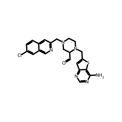 Nc1ncnc2cc(CN3CCN(Cc4cc5ccc(Cl)cc5cn4)CC3C=O)sc12